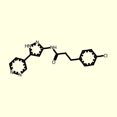 O=C(CCc1ccc(Cl)cc1)Nc1cc(-c2ccnnc2)[nH]n1